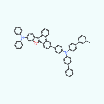 CC1C=C(c2ccc(N(c3ccc(-c4ccccc4)cc3)c3ccc(-c4ccc5c(c4)c4ccccc4c4c6ccc(N(c7ccccc7)c7ccccc7)cc6oc54)cc3)cc2)C=CC1